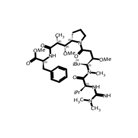 CC[C@H](C)[C@@H](C(CC(=O)N1CCC[C@H]1[C@H](OC)[C@@H](C)C(=O)N[C@@H](Cc1ccccc1)C(=O)OC)OC)N(C)C(=O)[C@@H](NC(=N)N(C)C)C(C)C